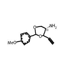 C#CC1OC(c2ccc(OC)cc2)OC[C@@H]1N